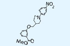 COC(=O)c1cccc(OCC2CCN(c3ccc([N+](=O)[O-])cc3)CC2)c1